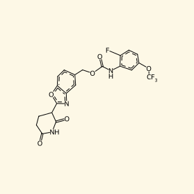 O=C1CCC(c2nc3cc(COC(=O)Nc4cc(OC(F)(F)F)ccc4F)ccc3o2)C(=O)N1